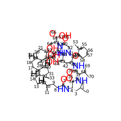 CC(C)C[C@H](NC(=O)CC[C@@H](C)[C@H]1CC[C@H]2[C@@H]3CC[C@@H]4CCC(O)C(O)(O)[C@]4(C)[C@H]3CC[C@]12C)C(=O)N[C@H](C(=O)N[C@@H](Cc1ccccc1)C(=O)N[C@@H](Cc1ccccc1)C(=O)N[C@@H](C)C(=O)O)C(C)C